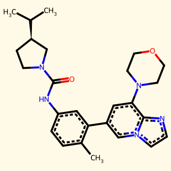 Cc1ccc(NC(=O)N2CC[C@@H](C(C)C)C2)cc1-c1cc(N2CCOCC2)c2nccn2c1